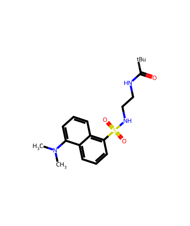 CN(C)c1cccc2c(S(=O)(=O)NCCNC(=O)C(C)(C)C)cccc12